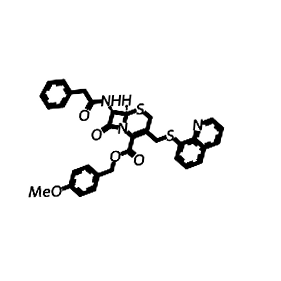 COc1ccc(COC(=O)C2=C(CSc3cccc4cccnc34)CS[C@@H]3[C@H](NC(=O)Cc4ccccc4)C(=O)N23)cc1